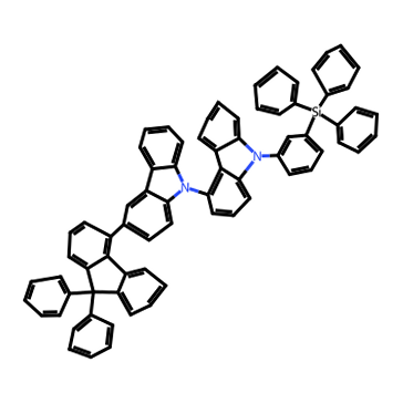 c1ccc(C2(c3ccccc3)c3ccccc3-c3c(-c4ccc5c(c4)c4ccccc4n5-c4cccc5c4c4ccccc4n5-c4cccc([Si](c5ccccc5)(c5ccccc5)c5ccccc5)c4)cccc32)cc1